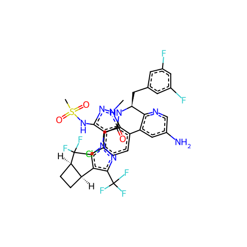 Cn1nc(NS(C)(=O)=O)c2c(Cl)ccc(-c3cc(N)cnc3[C@H](Cc3cc(F)cc(F)c3)NC(=O)Cn3nc(C(F)(F)F)c4c3C(F)(F)[C@@H]3CC[C@H]43)c21